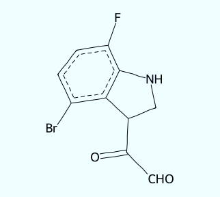 O=CC(=O)C1CNc2c(F)ccc(Br)c21